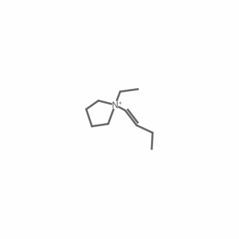 CCC=C[N+]1(CC)CCCC1